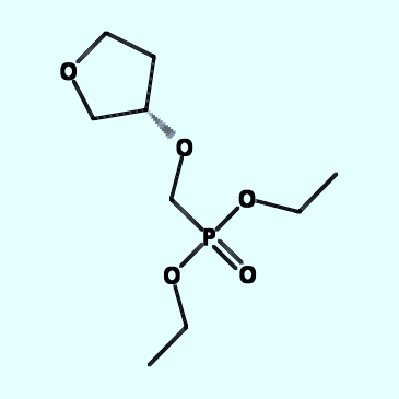 CCOP(=O)(CO[C@H]1CCOC1)OCC